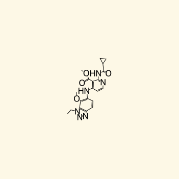 CCn1nnc2ccc(Nc3ccnc(NC(=O)C4CC4)c3C(=O)OC)c(OC)c21